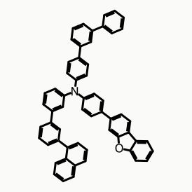 c1ccc(-c2cccc(-c3ccc(N(c4ccc(-c5ccc6c(c5)oc5ccccc56)cc4)c4cccc(-c5cccc(-c6cccc7ccccc67)c5)c4)cc3)c2)cc1